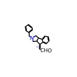 O=C/C=C1\c2ccccc2C2CN(Cc3ccccc3)CC12